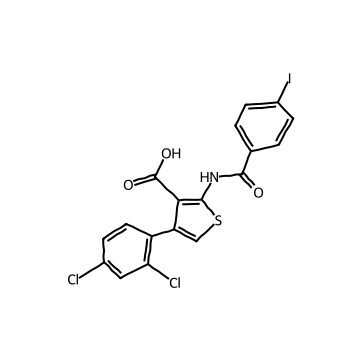 O=C(Nc1scc(-c2ccc(Cl)cc2Cl)c1C(=O)O)c1ccc(I)cc1